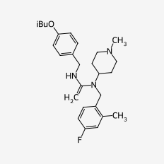 C=C(NCc1ccc(OCC(C)C)cc1)N(Cc1ccc(F)cc1C)C1CCN(C)CC1